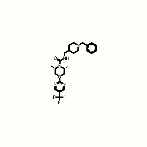 C[C@@H]1CN(c2ncc(C(F)(F)F)cn2)C[C@@H](C)N1C(=O)NCC1CCN(Cc2ccccc2)CC1